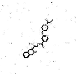 COC(=O)N1CCC(Oc2cc(C(=O)NC[C@@H](O)[C@@H]3Cc4ccccc4CN3)ccn2)CC1